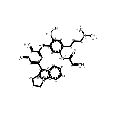 C=C/C=C(\N=C(/C=C)Nc1cc(NC(=O)C=C)c(CCCN(C)C)cc1OC)c1c2n(c3ccccc13)CCC2